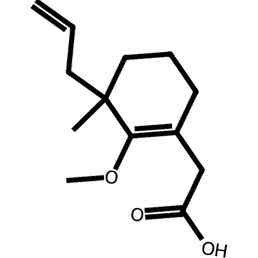 C=CCC1(C)CCCC(CC(=O)O)=C1OC